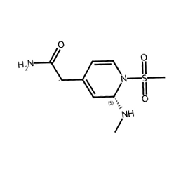 CN[C@@H]1C=C([CH]C(N)=O)C=CN1S(C)(=O)=O